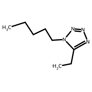 [CH2]Cc1nnnn1CCCCC